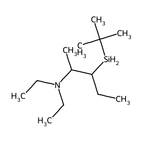 CCC([SiH2]C(C)(C)C)C(C)N(CC)CC